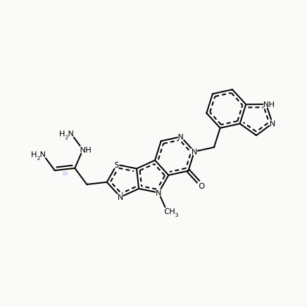 Cn1c2nc(C/C(=C/N)NN)sc2c2cnn(Cc3cccc4[nH]ncc34)c(=O)c21